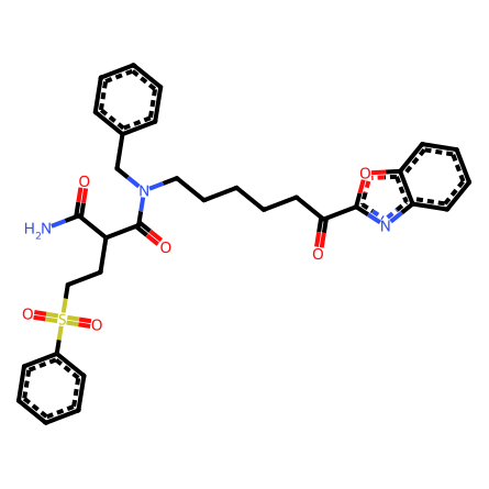 NC(=O)C(CCS(=O)(=O)c1ccccc1)C(=O)N(CCCCCC(=O)c1nc2ccccc2o1)Cc1ccccc1